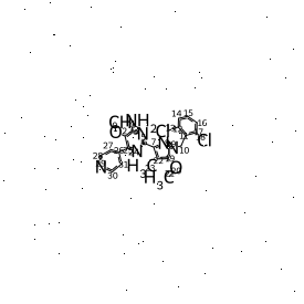 COc1c(N)nc(-c2nn(Cc3c(Cl)cccc3Cl)c(OC)c2C)nc1-c1ccncc1